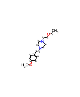 CCOCCN1CCN(CCc2ccc(OC)cc2)CC1